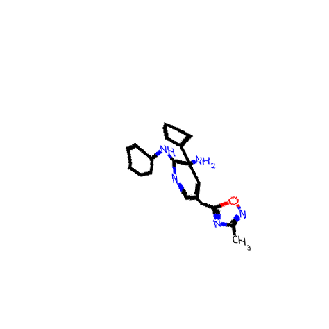 Cc1noc(C2=CC(N)(C3CCC3)C(NC3CCCCC3)N=C2)n1